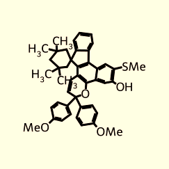 COc1ccc(C2(c3ccc(OC)cc3)C=Cc3c4c(c5cc(SC)c(O)cc5c3O2)-c2ccccc2C42CC(C)(C)CC(C)(C)C2)cc1